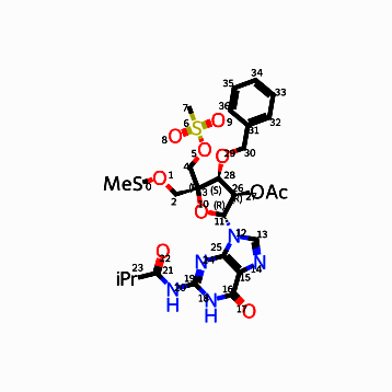 CSOC[C@]1(COS(C)(=O)=O)O[C@@H](n2cnc3c(=O)[nH]c(NC(=O)C(C)C)nc32)[C@H](OC(C)=O)[C@@H]1OCc1ccccc1